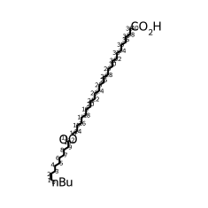 CCCC/C=C\CCCCCCCC(=O)OCCCCCCCCCCCCCCCCCCCCCCCCCCCC(=O)O